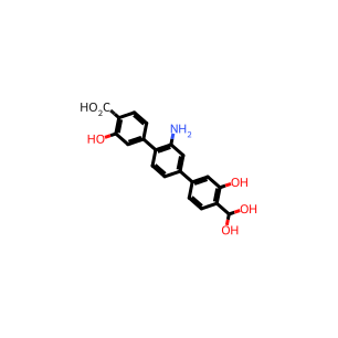 Nc1cc(-c2ccc(C(O)O)c(O)c2)ccc1-c1ccc(C(=O)O)c(O)c1